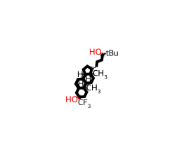 CC(C)(C)[C@H](O)CCC[C@H]1CC[C@H]2[C@@H]3CC=C4C[C@](O)(C(F)(F)F)CC[C@]4(C)[C@H]3CC[C@]12C